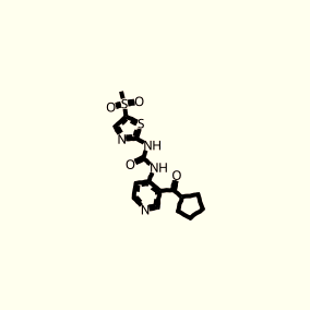 CS(=O)(=O)c1cnc(NC(=O)Nc2ccncc2C(=O)C2CCCC2)s1